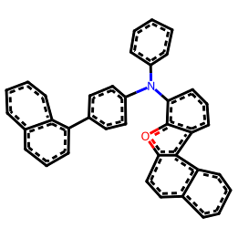 c1ccc(N(c2ccc(-c3cccc4ccccc34)cc2)c2cccc3c2oc2ccc4ccccc4c23)cc1